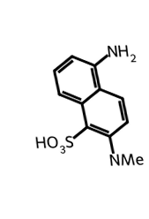 CNc1ccc2c(N)cccc2c1S(=O)(=O)O